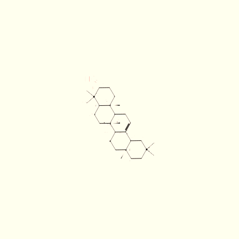 CC1(C)CC[C@]2(C)CC[C@]3(C)C(=CCC4[C@@]5(C)CC[C@@H](O)C(C)(C)C5CC[C@]43C)C2C1